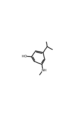 CNc1cc(O)cc(C(C)C)c1